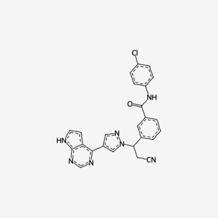 N#CCC(c1cccc(C(=O)Nc2ccc(Cl)cc2)c1)n1cc(-c2ncnc3[nH]ccc23)cn1